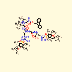 Cc1c(C)c(S(=O)(=O)NC(=N)NCCC[C@H](NC(=O)CNC(=O)[C@H](CCCNC(=N)NS(=O)(=O)c2c(C)c(C)c3c(c2C)CC(C)(C)O3)NC(=O)[C@@H](NC(=O)[C@H](CC(C)C)NC(=O)OCC2c3ccccc3-c3ccccc32)C(C)C)C(=O)O)c(C)c2c1OC(C)(C)C2